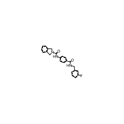 O=C(NCc1cccc(F)c1)c1ccc(NC(=O)N2Cc3ccccc3C2)cc1